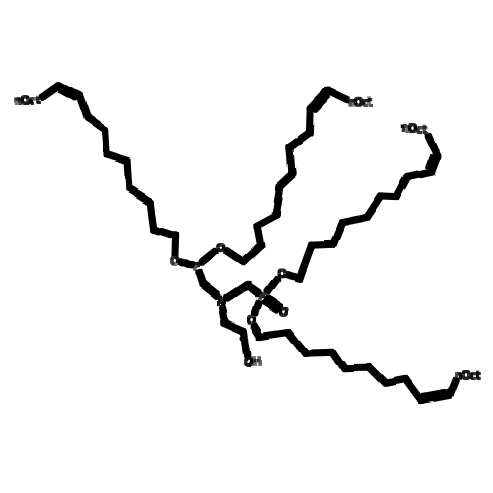 CCCCCCCC/C=C\CCCCCCCCOP(CN(CCO)CP(=O)(OCCCCCCCC/C=C\CCCCCCCC)OCCCCCCCC/C=C\CCCCCCCC)OCCCCCCCC/C=C\CCCCCCCC